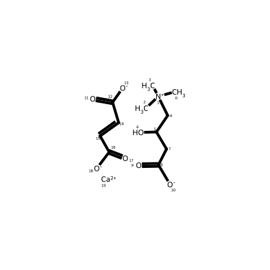 C[N+](C)(C)CC(O)CC(=O)[O-].O=C([O-])/C=C/C(=O)[O-].[Ca+2]